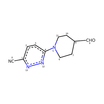 N#Cc1ccc(N2CCC(C=O)CC2)nn1